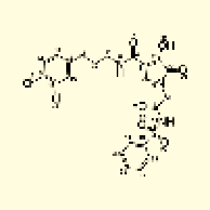 O=C(CN1CC(C(=O)NCCCc2ccc(Cl)c(Cl)c2)=C(O)C1=O)NS(=O)(=O)c1ccccc1